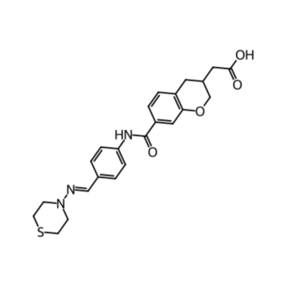 O=C(O)CC1COc2cc(C(=O)Nc3ccc(C=NN4CCSCC4)cc3)ccc2C1